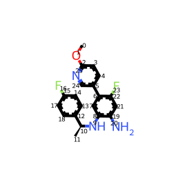 COc1ccc(-c2cc(N[C@@H](C)c3ccc(F)cc3)c(N)cc2F)cn1